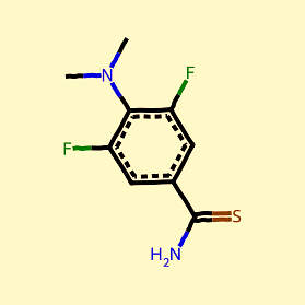 CN(C)c1c(F)cc(C(N)=S)cc1F